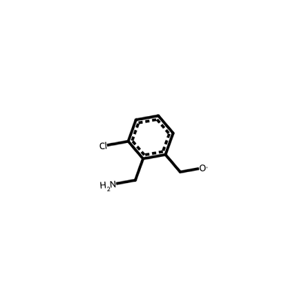 NCc1c(Cl)cccc1C[O]